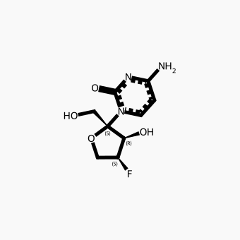 Nc1ccn([C@@]2(CO)OC[C@H](F)[C@@H]2O)c(=O)n1